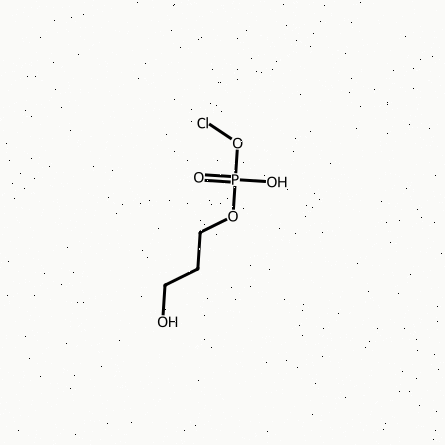 O=P(O)(OCl)OCCCO